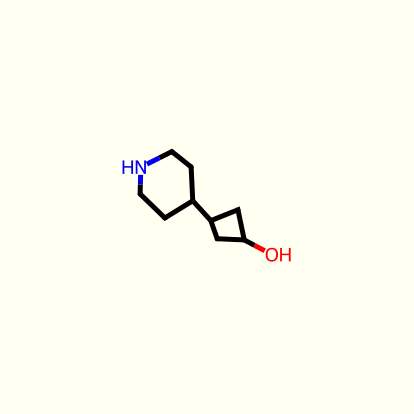 OC1CC(C2CCNCC2)C1